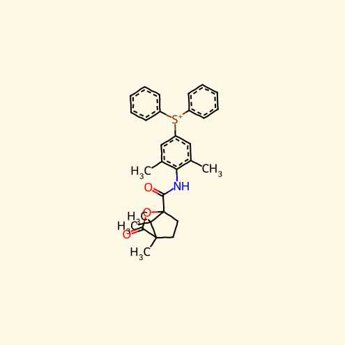 Cc1cc([S+](c2ccccc2)c2ccccc2)cc(C)c1NC(=O)C12CCC(C)(C(=O)O1)C2(C)C